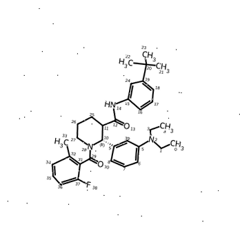 CCN(CC)c1cccc([C@H]2C(C(=O)Nc3cccc(C(C)(C)C)c3)CCCN2C(=O)c2c(C)cccc2F)c1